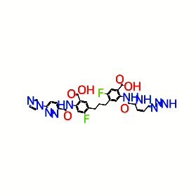 N=N/N=C/C=C\C(=N)C(=O)Nc1cc(CCCc2cc(C(=O)O)c(NC(=O)c3ccc(-n4ccnc4)nn3)cc2F)c(F)cc1C(=O)O